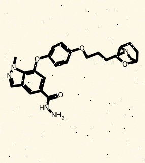 Cn1ncc2cc(C(=O)NN)cc(Oc3ccc(OCCCN4CC5CCC4CO5)cc3)c21